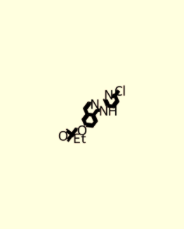 CCC1(COc2ccc3c(Nc4ccc(Cl)nc4)nccc3c2)COC1